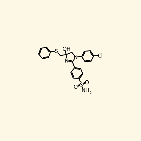 NS(=O)(=O)c1ccc(C2=NC(O)(CSc3ccccc3)CN2c2ccc(Cl)cc2)cc1